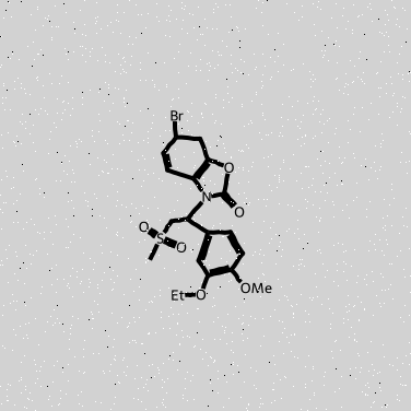 CCOc1cc(C(CS(C)(=O)=O)n2c3c(oc2=O)CC(Br)C=C3)ccc1OC